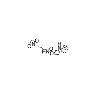 CCc1c([S@@+](C)[O-])[nH]c2cc(OC(=O)NCCCCCCN3C(=O)C=CC3=O)ccc12